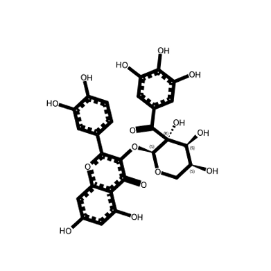 O=C(c1cc(O)c(O)c(O)c1)[C@]1(O)[C@H](Oc2c(-c3ccc(O)c(O)c3)oc3cc(O)cc(O)c3c2=O)OC[C@H](O)[C@@H]1O